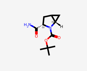 CC(C)(C)OC(=O)N1[C@H](C(N)=O)CC2C[C@@H]21